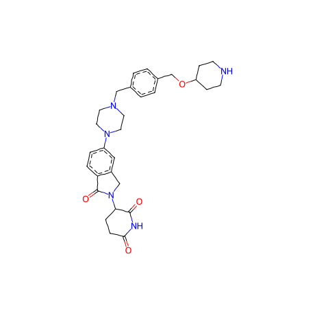 O=C1CCC(N2Cc3cc(N4CCN(Cc5ccc(COC6CCNCC6)cc5)CC4)ccc3C2=O)C(=O)N1